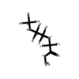 COC(=O)C(F)(F)OC(F)(F)C(F)(F)OC(F)(F)F